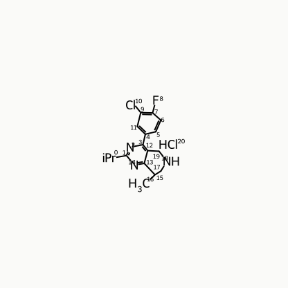 CC(C)c1nc(-c2ccc(F)c(Cl)c2)c2c(n1)C(C)CNC2.Cl